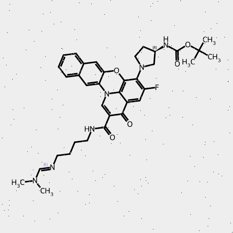 CN(C)/C=N/CCCCNC(=O)c1cn2c3c(c(N4CC[C@@H](NC(=O)OC(C)(C)C)C4)c(F)cc3c1=O)Oc1cc3ccccc3cc1-2